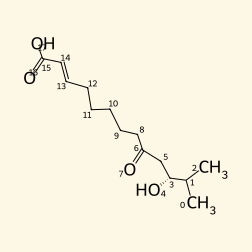 CC(C)[C@H](O)CC(=O)CCCCC/C=C/C(=O)O